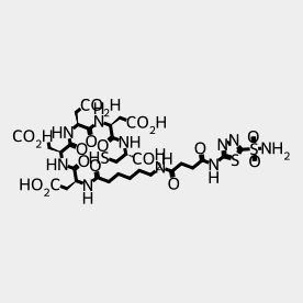 NS(=O)(=O)c1nnc(NC(=O)CCC(=O)NCCCCCC(=O)N[C@@H](CC(=O)O)C(=O)N[C@@H](CC(=O)O)C(=O)N[C@@H](CC(=O)O)C(=O)N[C@@H](CC(=O)O)C(=O)N[C@@H](CS)C(=O)O)s1